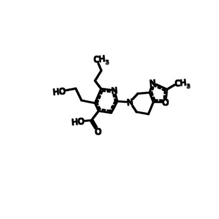 CCCc1nc(N2CCc3oc(C)nc3C2)cc(C(=O)O)c1CCO